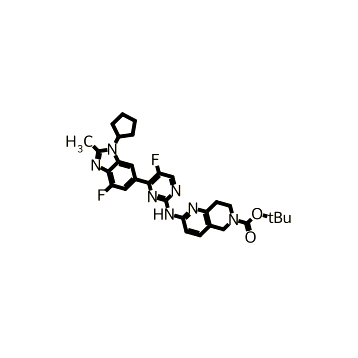 Cc1nc2c(F)cc(-c3nc(Nc4ccc5c(n4)CCN(C(=O)OC(C)(C)C)C5)ncc3F)cc2n1C1CCCC1